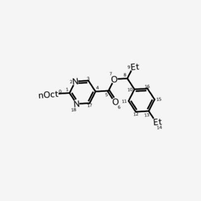 CCCCCCCCc1ncc(C(=O)OC(CC)c2ccc(CC)cc2)cn1